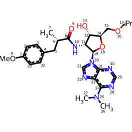 COc1ccc(C[C@H](C)C(=O)N[C@@H]2[C@H](O)[C@@H](COC(C)C)O[C@H]2n2cnc3c(N(C)C)ncnc32)cc1